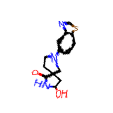 O=C1NC(O)CC12CCN(c1ccc3scnc3c1)C2